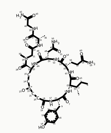 CC[C@H](C)[C@@H]1NC(=O)[C@H](Cc2ccc(O)cc2)NC(=O)CC[S+]([O-])CC[C@@H](C(=O)N(C)CC(=O)N[C@@H](C)C(=O)NCC(N)=O)NC(=O)[C@H](CC(N)=O)NC(=O)[C@H](CCC(N)=O)NC1=O